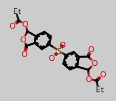 CCC(=O)OC1OC(=O)c2cc(S(=O)(=O)c3ccc4c(c3)C(=O)OC4OC(=O)CC)ccc21